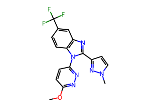 COc1ccc(-n2c(-c3ccn(C)n3)nc3cc(C(F)(F)F)ccc32)nn1